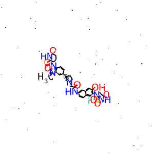 Cn1c(=O)n(C2CCC(=O)NC2=O)c2ccc([C@H]3CCN(CC(=O)Nc4ccc5c(F)c(N6CC(=O)NS6(=O)=O)c(O)cc5c4)C3)cc21